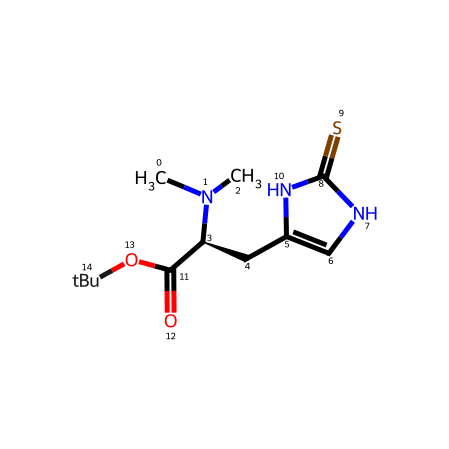 CN(C)[C@@H](Cc1c[nH]c(=S)[nH]1)C(=O)OC(C)(C)C